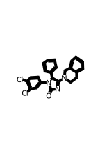 O=C1N=C(N2CCc3ccccc3C2)C(c2ccccc2)N1c1ccc(Cl)c(Cl)c1